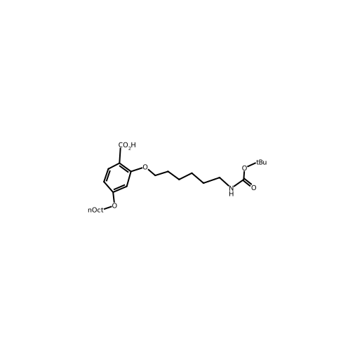 CCCCCCCCOc1ccc(C(=O)O)c(OCCCCCCNC(=O)OC(C)(C)C)c1